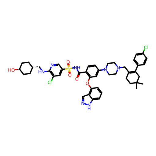 CC1(C)CCC(CN2CCN(c3ccc(C(=O)NS(=O)(=O)c4cnc(NC[C@H]5CC[C@H](O)CC5)c(Cl)c4)c(Oc4cccc5[nH]ncc45)c3)CC2)=C(c2ccc(Cl)cc2)C1